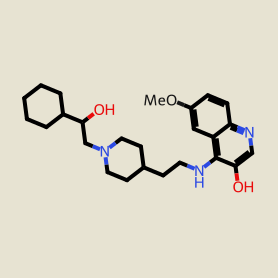 COc1ccc2ncc(O)c(NCCC3CCN(CC(O)C4CCCCC4)CC3)c2c1